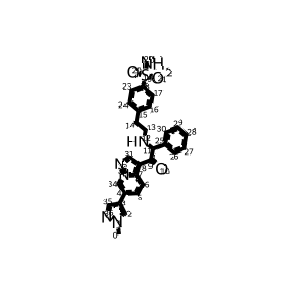 Cn1cc(-c2ccc3c(C(=O)C(NCCc4ccc(S(N)(=O)=O)cc4)c4ccccc4)cnn3c2)cn1